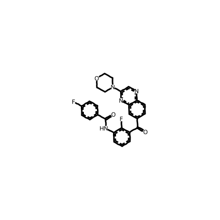 O=C(Nc1cccc(C(=O)c2ccc3ncc(N4CCOCC4)nc3c2)c1F)c1ccc(F)cc1